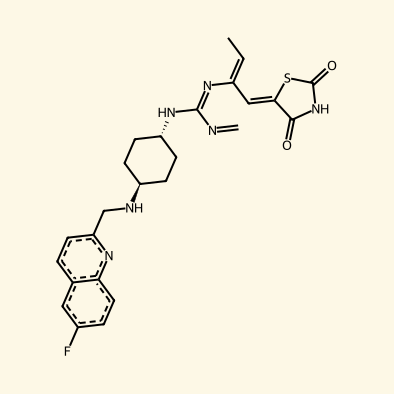 C=N\C(=N/C(=C\C)/C=C1\SC(=O)NC1=O)N[C@H]1CC[C@H](NCc2ccc3cc(F)ccc3n2)CC1